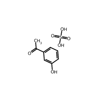 CC(=O)c1cccc(O)c1.O=S(=O)(O)O